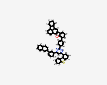 c1cc(-c2ccc3ccccc3c2)cc(-c2cc(-c3cccc4sc5ccccc5c34)nc(-c3ccc(-c4cccc5c4oc4c6cccc7c6c(cc54)-c4ccccc4-7)cc3)n2)c1